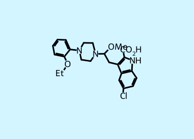 CCOc1ccccc1N1CCN(C(Cc2c(C(=O)O)[nH]c3ccc(Cl)cc23)OC)CC1